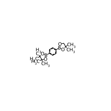 CC1(C)COB(c2ccc(B3OC(C)(C)C(C)(C)O3)cc2)O1